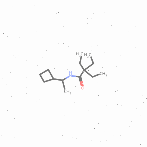 CCC(CC)(CC)C(=O)NC(C)C1CCC1